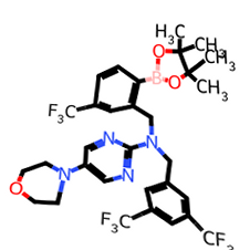 CC1(C)OB(c2ccc(C(F)(F)F)cc2CN(Cc2cc(C(F)(F)F)cc(C(F)(F)F)c2)c2ncc(N3CCOCC3)cn2)OC1(C)C